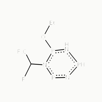 CCOp1[nH][pH]npn1C(F)C(F)(F)F